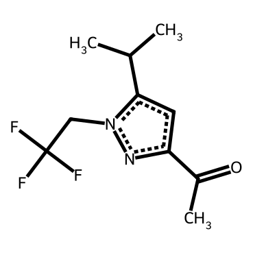 CC(=O)c1cc(C(C)C)n(CC(F)(F)F)n1